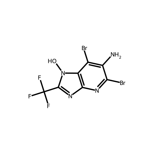 Nc1c(Br)nc2nc(C(F)(F)F)n(O)c2c1Br